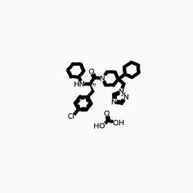 O=C(O)O.O=C([C@@H](Cc1ccc(Cl)cc1)NC1CCCCC1)N1CCC(Cn2cncn2)(C2CCCCC2)CC1